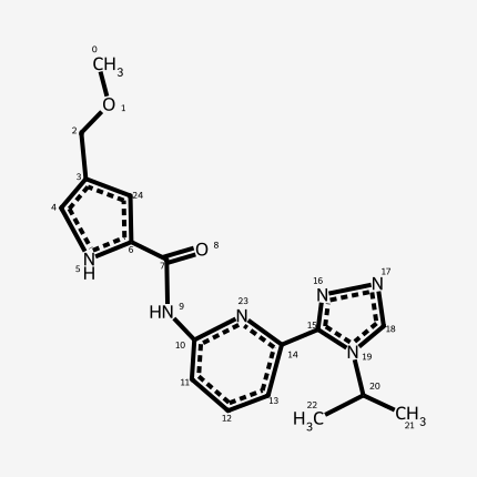 COCc1c[nH]c(C(=O)Nc2cccc(-c3nncn3C(C)C)n2)c1